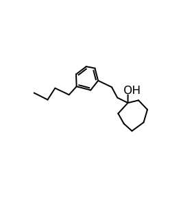 CCCCc1cccc(CCC2(O)CCCCCC2)c1